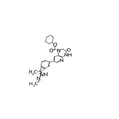 C/C=N/NS1(C)c2ccc(-c3cnc4c(c3)N(C(=O)OC3CCCCC3)CC(=O)N4)cc21